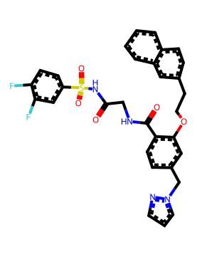 O=C(CNC(=O)c1ccc(Cn2cccn2)cc1OCCc1ccc2ccccc2c1)NS(=O)(=O)c1ccc(F)c(F)c1